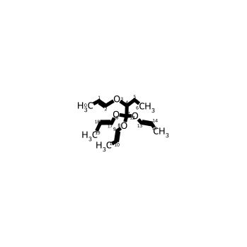 CC=COC(CC)C(OC=CC)(OC=CC)OC=CC